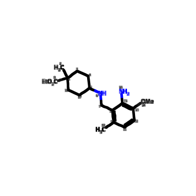 CCOC(=O)C1(C)CCC(NCc2c(C)ccc(OC)c2N)CC1